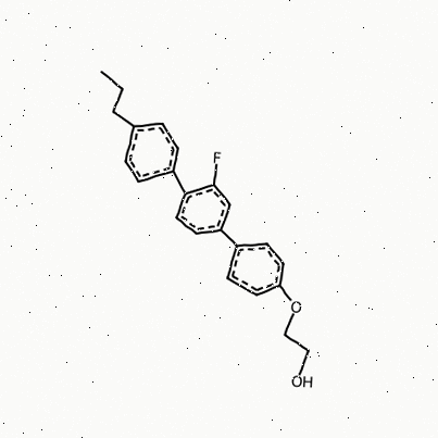 CCCc1ccc(-c2ccc(-c3ccc(OCCO)cc3)cc2F)cc1